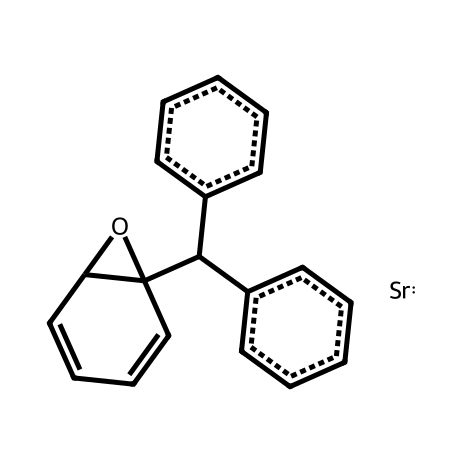 C1=CC2OC2(C(c2ccccc2)c2ccccc2)C=C1.[Sr]